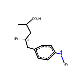 CC(C)Nc1ccc(C[C@@H](CC(C)C(=O)O)C(C)C)cc1